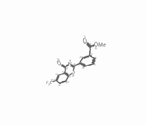 COC(=O)c1cccc(-c2nc(=O)c3cc(C(F)(F)F)ccc3o2)c1